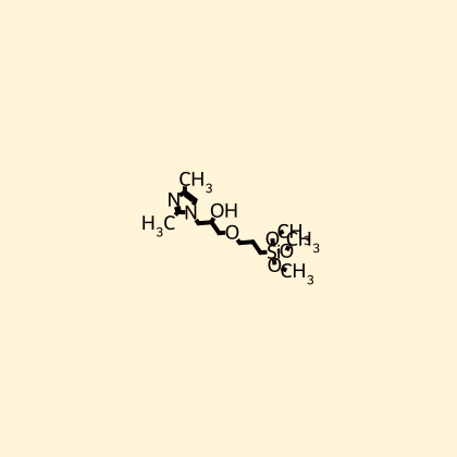 CO[Si](CCCOCC(O)Cn1cc(C)nc1C)(OC)OC